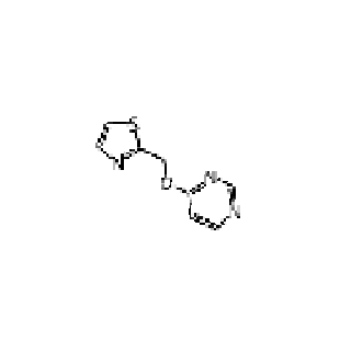 [c]1nccc(OCc2nccs2)n1